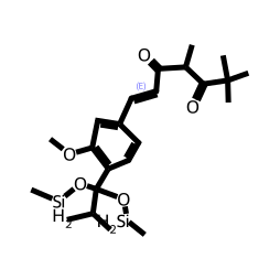 COc1cc(/C=C/C(=O)C(C)C(=O)C(C)(C)C)ccc1C(O[SiH2]C)(O[SiH2]C)C(C)C